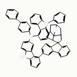 c1ccc(-c2ccc(N(c3ccc4[nH]c5cccc(-c6ccc7c(c6)-c6ccccc6C76C7CC8CC9CC6C9(C8)C7)c5c4c3)c3cccc4c3c3ccccc3n4-c3ccccc3)cc2)cc1